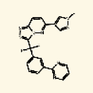 Cn1cc(-c2ccc3nnc(C(F)(F)c4cccc(-c5ncccn5)c4)n3n2)cn1